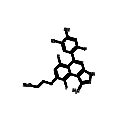 COCCOc1cc(F)c2c(-c3cc(Cl)c(O)cc3F)nc3[nH]nc(C)c3c2c1F